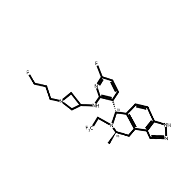 C[C@@H]1Cc2c(ccc3[nH]ncc23)[C@@H](c2ccc(F)nc2NC2CN(CCCF)C2)N1CC(F)(F)F